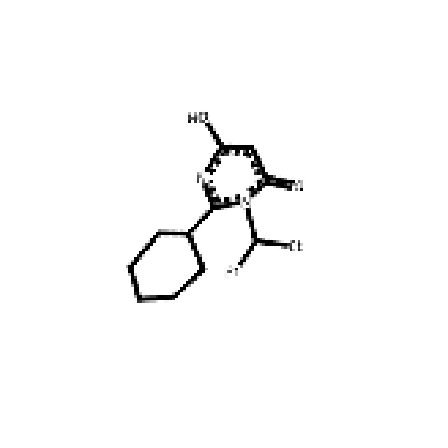 CCC(CC)n1c(C2CCCCC2)nc(O)cc1=O